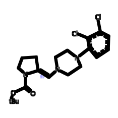 CC(C)(C)OC(=O)N1CCC/C1=C\N1CCN(c2cccc(Cl)c2Cl)CC1